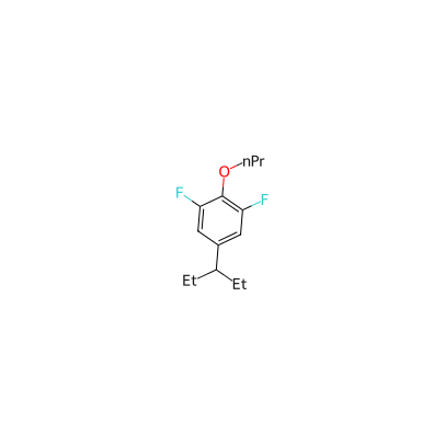 CCCOc1c(F)cc(C(CC)CC)cc1F